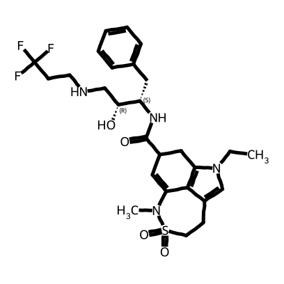 CCn1cc2c3c1CC(C(=O)N[C@@H](Cc1ccccc1)[C@H](O)CNCCC(F)(F)F)C=C3N(C)S(=O)(=O)CC2